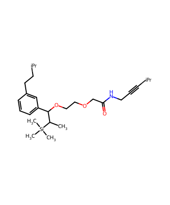 CC(C)C#CCNC(=O)COCCOC(c1cccc(CCC(C)C)c1)C(C)[Si](C)(C)C